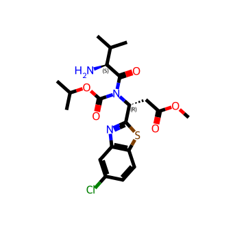 COC(=O)C[C@H](c1nc2cc(Cl)ccc2s1)N(C(=O)OC(C)C)C(=O)[C@@H](N)C(C)C